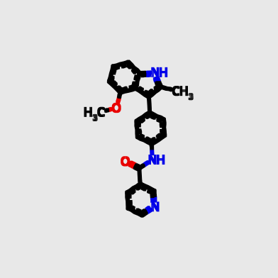 COc1cccc2[nH]c(C)c(-c3ccc(NC(=O)c4cccnc4)cc3)c12